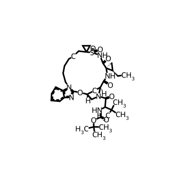 CC[C@@H]1C[C@@]12NC(=O)[C@@H]1C[C@H](CN1C(=O)C(NC(=O)OC(C)(C)C)C(C)(C)C)Oc1nc3ccccc3n1CCCCCCC1(CC1)S(=O)(=O)NC2=O